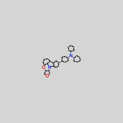 c1ccc(N(c2ccccc2)c2ccc(-c3ccc4c(c3)c3cccc5c3n4-c3cocc3O5)cc2)cc1